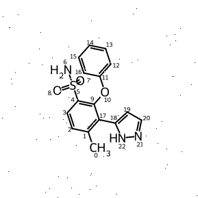 Cc1ccc(S(N)(=O)=O)c(Oc2ccccc2)c1-c1ccn[nH]1